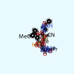 COc1ccc(C(OC[C@H]2O[C@@H](n3ccc4c(NC(=O)c5ccccc5)ncnc43)C[C@@H]2OP(=S)(OCCC#N)OC[C@H]2O[C@@H](n3cnc4c(=O)[nH]c(NC(=O)C(C)C)nc43)[C@H](O[PH](=O)O)[C@@H]2F)(c2ccccc2)c2ccc(OC)cc2)cc1